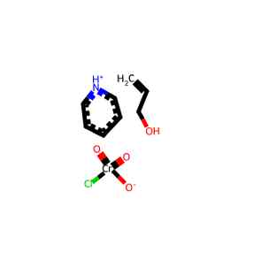 C=CCO.[O]=[Cr](=[O])([O-])[Cl].c1cc[nH+]cc1